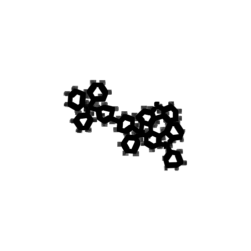 c1ccc(-n2c3ccccc3c3c4c(ccc32)[Si](c2ccccc2)(c2ccc(-c3ccc([Si](c5ccccc5)(c5ccccc5)c5ccccc5)cc3)cc2)c2ccc3sc5ccccc5c3c2-4)cc1